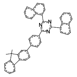 CC1(C)c2ccccc2-c2ccc(-c3ccc(-c4nc(-c5cccc6ccccc56)nc(-c5cccc6ccccc56)n4)cc3)cc21